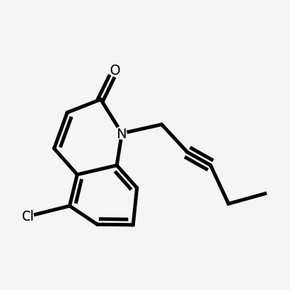 CCC#CCn1c(=O)ccc2c(Cl)cccc21